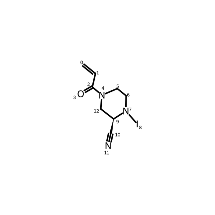 C=CC(=O)N1CCN(I)[C@@H](C#N)C1